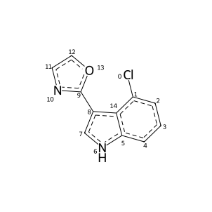 Clc1cccc2[nH]cc(-c3ncco3)c12